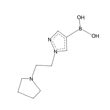 OB(O)c1cnn(CCN2CCCC2)c1